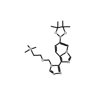 CC1(C)OB(c2ccc3c(-c4nncn4COCC[Si](C)(C)C)ncn3c2)OC1(C)C